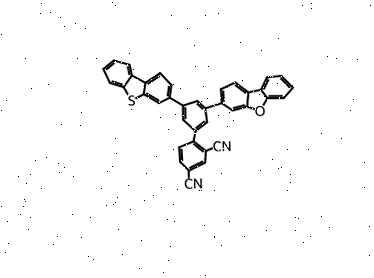 N#Cc1ccc(-c2cc(-c3ccc4c(c3)oc3ccccc34)cc(-c3ccc4c(c3)sc3ccccc34)c2)c(C#N)c1